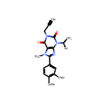 C#CCn1c(=O)c2c(nc(-c3ccc(OC)c(OC)c3)n2C)n(C(C)C(C)=O)c1=O